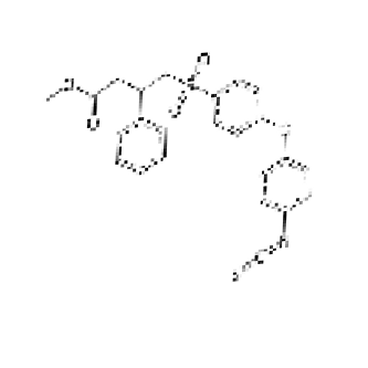 COC(=O)CC(CS(=O)(=O)c1ccc(Oc2ccc(N=C=S)cc2)cc1)c1ccccc1